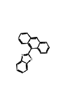 c1ccc2c(-c3nc4ccccc4o3)c3ccccc3cc2c1